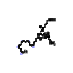 CC/C=C\C/C=C\C/C=C\C/C=C\C/C=C\CCCC(=O)O[C@H](COC(=O)CCCCCCCCCCCCCC)COP(=O)(O)OCCN